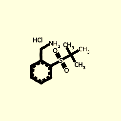 CC(C)(C)S(=O)(=O)c1ccccc1CN.Cl